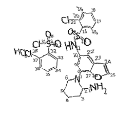 Cl.NC1CCCCN1c1cc(NS(=O)(=O)c2ccccc2Cl)cc2ccoc12.O=S(=O)(Cl)c1ccccc1Cl